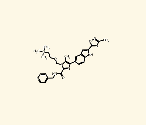 Cc1noc(-c2cc3cc(-c4nc(C(=O)NCc5ccncc5)n(COCC[Si](C)(C)C)c4C)ccc3[nH]2)n1